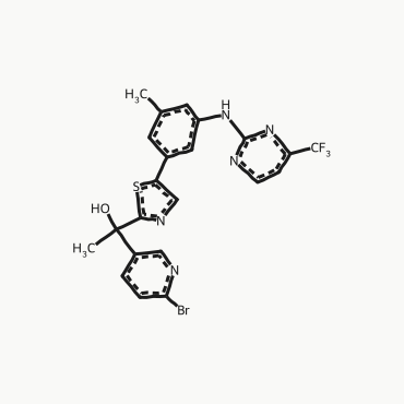 Cc1cc(Nc2nccc(C(F)(F)F)n2)cc(-c2cnc(C(C)(O)c3ccc(Br)nc3)s2)c1